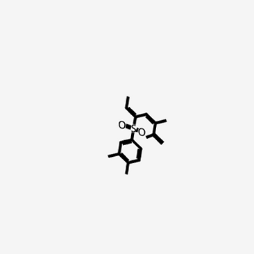 C=C(C)/C(C)=C\C(=C/C)S(=O)(=O)c1ccc(C)c(C)c1